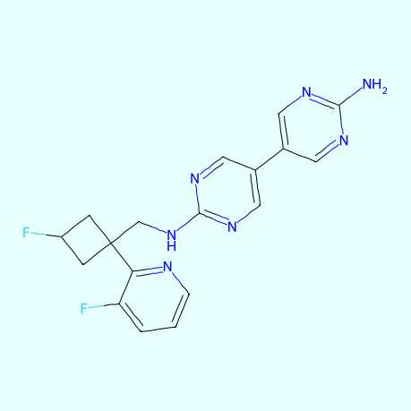 Nc1ncc(-c2cnc(NCC3(c4ncccc4F)CC(F)C3)nc2)cn1